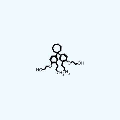 CCCc1cc(C2(c3ccc(OCCO)c(CCC)c3)CCCCCC2)ccc1OCCO